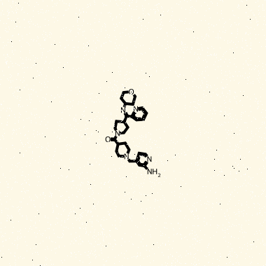 Nc1cc(CN2CCC(C(=O)N3CCC(C(=NC4CCOCC4)c4ccccn4)CC3)CC2)ccn1